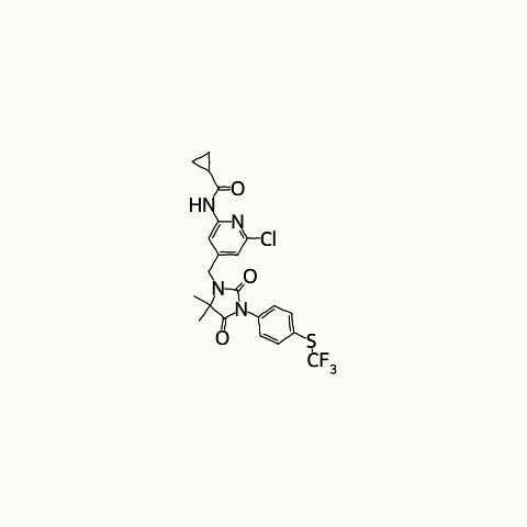 CC1(C)C(=O)N(c2ccc(SC(F)(F)F)cc2)C(=O)N1Cc1cc(Cl)nc(NC(=O)C2CC2)c1